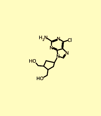 Nc1nc(Cl)c2ncn(C3CC(CO)C(CO)C3)c2n1